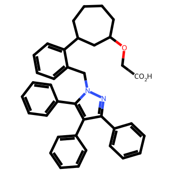 O=C(O)COC1CCCCC(c2ccccc2Cn2nc(-c3ccccc3)c(-c3ccccc3)c2-c2ccccc2)C1